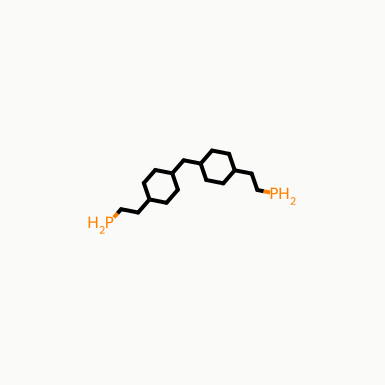 PCCC1CCC(CC2CCC(CCP)CC2)CC1